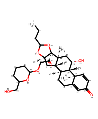 CCCC1O[C@@H]2C[C@H]3[C@@H]4CCC5=CC(=O)C=C[C@]5(C)[C@H]4[C@@H](O)C[C@]3(C)[C@]2(C(=O)COC2CCCC(CO)O2)O1